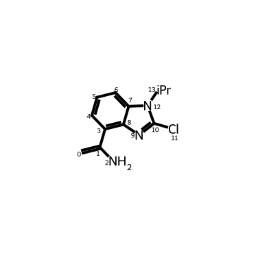 C=C(N)c1cccc2c1nc(Cl)n2C(C)C